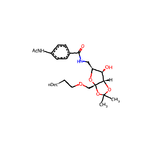 CCCCCCCCCCCCOC[C@@]12O[C@@H](CNC(=O)c3ccc(NC(C)=O)cc3)[C@@H](O)[C@@H]1OC(C)(C)O2